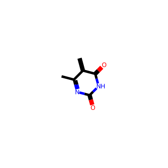 C=C1C(=O)NC(=O)N=C1C